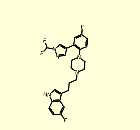 Fc1ccc(N2CCN(CCCc3c[nH]c4ccc(F)cc34)CC2)c(-c2cnn(C(F)F)c2)c1